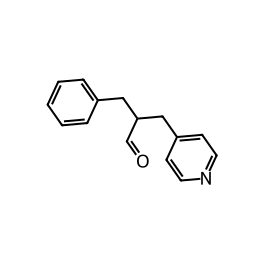 O=CC(Cc1ccccc1)Cc1ccncc1